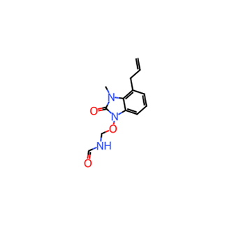 C=CCc1cccc2c1n(C)c(=O)n2OCNC=O